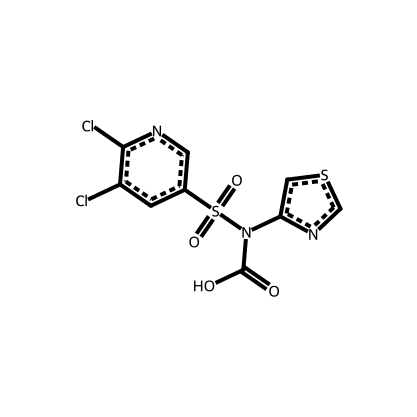 O=C(O)N(c1cscn1)S(=O)(=O)c1cnc(Cl)c(Cl)c1